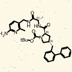 Cc1nc(N)ccc1CNC(=O)[C@H](C)NC(=O)[C@H]1C[C@H](Cc2ccccc2-c2ccccc2)CN1C(=O)OC(C)(C)C